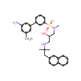 CN(CC(O)CNC(C)(C)Cc1ccc2ccccc2c1)S(=O)(=O)c1cccc(-c2cc(N)cc(C(=O)O)c2)c1